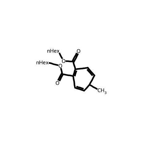 CCCCCCOC(=O)C1=C(C(=O)OCCCCCC)C=CC(C)C=C1